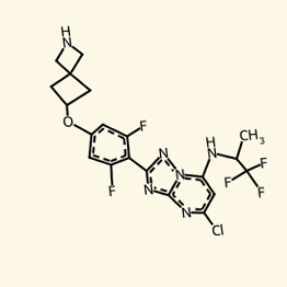 CC(Nc1cc(Cl)nc2nc(-c3c(F)cc(OC4CC5(CNC5)C4)cc3F)nn12)C(F)(F)F